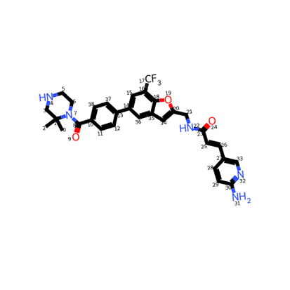 CC1(C)CNCCN1C(=O)c1ccc(-c2cc(C(F)(F)F)c3oc(CNC(=O)C=Cc4ccc(N)nc4)cc3c2)cc1